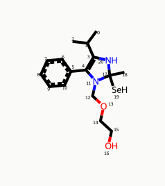 CC(C)C1=C(c2ccccc2)N(COCCO)C(C)([SeH])N1